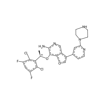 C[C@@H](Oc1c(N)ncc2c(-c3ccnc(N4CCNCC4)c3)coc12)c1c(Cl)c(F)cc(F)c1Cl